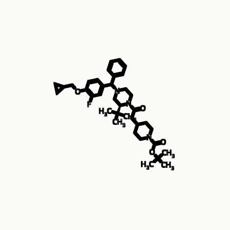 CC(C)(C)OC(=O)N1CCC(CC(=O)N2CCN(C(c3ccccc3)c3ccc(OCC4CC4)c(F)c3)C[C@@H]2C(C)(C)C)CC1